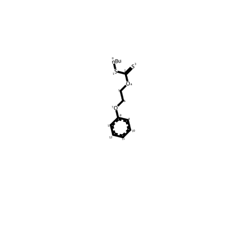 CCCCSC(=S)OCCOc1ccccc1